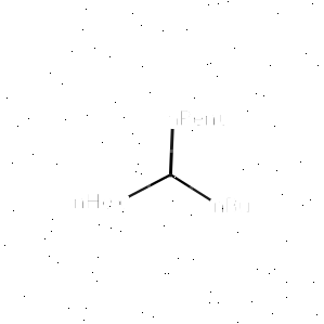 [CH2]CCCC(CCCCC)CCCCCC